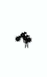 C=Cc1ccccc1.C=Cc1ccccc1.C=Cc1ccccc1.O=[PH](I)c1ccccc1